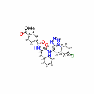 COC(=O)c1ccc(C(=O)NC(Cc2ccccc2)C(=O)NCCc2cc(Cl)ccc2-n2cnnn2)cc1